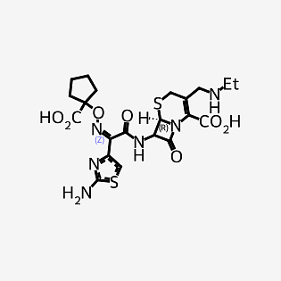 CCNCC1=C(C(=O)O)N2C(=O)C(NC(=O)/C(=N\OC3(C(=O)O)CCCC3)c3csc(N)n3)[C@H]2SC1